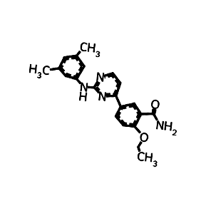 CCOc1ccc(-c2ccnc(Nc3cc(C)cc(C)c3)n2)cc1C(N)=O